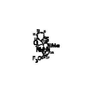 CNC(=S)C(C(N)=O)(c1ccccc1)c1cc(C(F)(F)F)ccn1